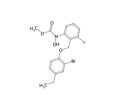 CCc1ccc(OCc2c(I)cccc2N(O)C(=O)OC)c(Br)c1